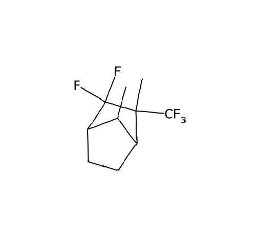 CC1C2CCC1C(C)(C(F)(F)F)C2(F)F